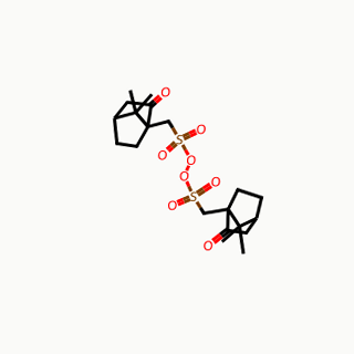 CC1(C)C2CCC1(CS(=O)(=O)OOS(=O)(=O)CC13CCC(CC1=O)C3(C)C)C(=O)C2